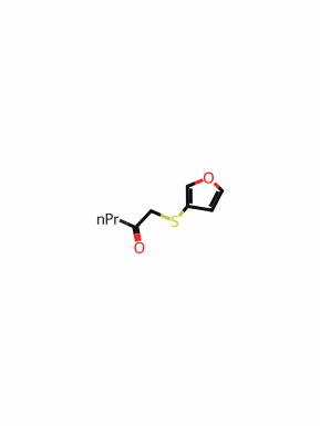 CCCC(=O)CSc1ccoc1